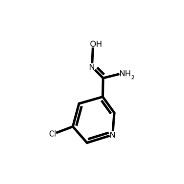 N/C(=N\O)c1cncc(Cl)c1